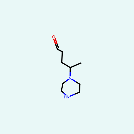 CC(CCC=O)N1CCNCC1